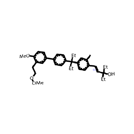 CCC(O)(/C=C/c1ccc(C(CC)(CC)c2ccc(-c3ccc(OC)c(CCOOC)c3)cc2)cc1C)CC